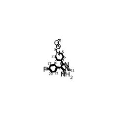 COOCN1CCC(c2nn(C)c(N)c2-c2ccc(F)cc2)CC1